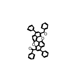 O=C(c1ccccc1)c1cc(-c2ccccc2)c2ccc3oc4c(C(=O)c5ccccc5)cc(-c5ccccc5)c5ccc6oc1c2c3-c6c54